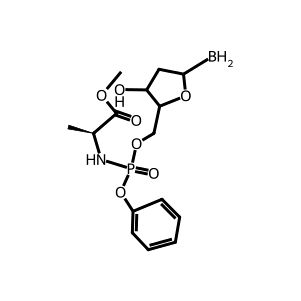 BC1CC(O)C(COP(=O)(N[C@@H](C)C(=O)OC)Oc2ccccc2)O1